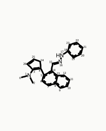 CN(C)C1=C(c2ccc3ccccc3c2C=NNc2ccccc2)CC=C1